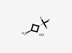 Cl.N[C@H]1C[C@H](C(F)(F)F)C1